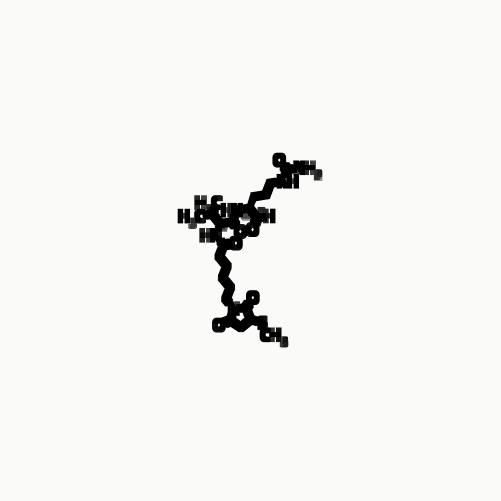 [2H]C(=O)[C@H](CCCNC(N)=O)NC(=O)[C@@H](NC(=O)CCCCCN1C(=O)CC(SC)C1=O)C(C)C